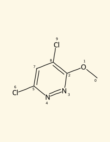 COc1nnc(Cl)cc1Cl